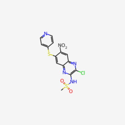 CS(=O)(=O)Nc1nc2cc(Sc3ccncc3)c([N+](=O)[O-])cc2nc1Cl